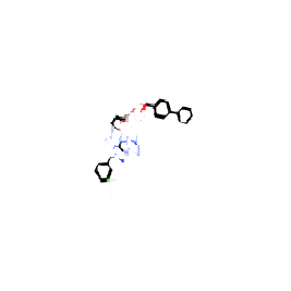 CN(Cc1cccc(F)c1)c1ncnc2c1ncn2[C@H]1CC[C@@H](COCc2ccc(-c3ccccc3)cc2)O1